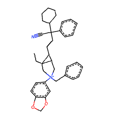 CCC12C[N+](Cc3ccccc3)(c3ccc4c(c3)OCO4)CC1C2CCC(C#N)(c1ccccc1)C1CCCCC1